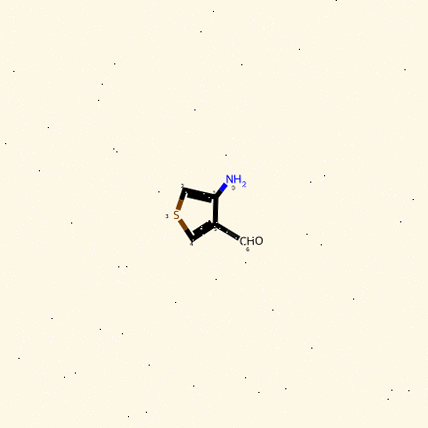 Nc1cscc1C=O